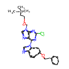 C[Si](C)(C)CCOCn1cnc2c(-n3cnc4ccc(OCc5ccccc5)cc43)nc(Cl)nc21